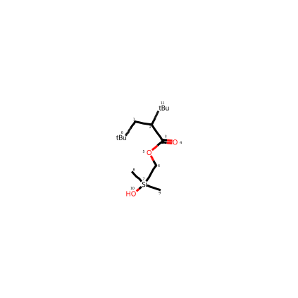 CC(C)(C)CC(C(=O)OC[Si](C)(C)O)C(C)(C)C